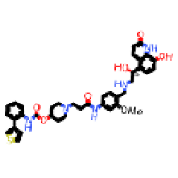 COc1cc(NC(=O)CCN2CCC(OC(=O)Nc3ccccc3-c3ccsc3)CC2)ccc1CNC[C@@H](O)c1ccc(O)c2[nH]c(=O)ccc12